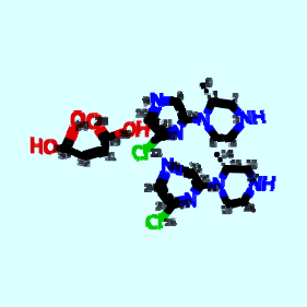 C[C@@H]1CNCCN1c1cncc(Cl)n1.C[C@@H]1CNCCN1c1cncc(Cl)n1.O=C(O)/C=C\C(=O)O